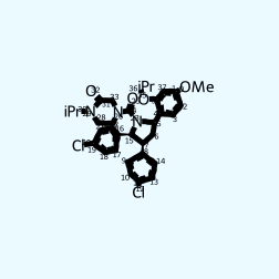 COc1ccc(C2C[C@@H](c3ccc(Cl)cc3)[C@@H](c3ccc(Cl)cc3)N2C(=O)N2CCN(C(C)C)C(=O)C2)c(OC(C)C)c1